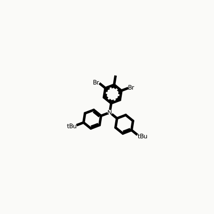 Cc1c(Br)cc(N(C2=CCC(C(C)(C)C)C=C2)C2CC=C(C(C)(C)C)CC2)cc1Br